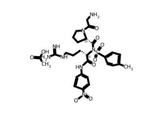 CC(=O)O.Cc1ccc(S(=O)(=O)N(C(=O)[C@@H]2CCCN2C(=O)CN)[C@@H](CCCNC(=N)N)C(=O)Nc2ccc([N+](=O)[O-])cc2)cc1